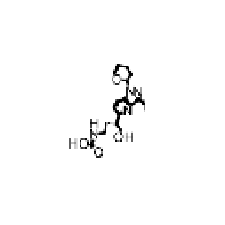 O=C(O)NCC[C@@H](CO)c1ccc2c(n1)c(I)nn2C1CCCCO1